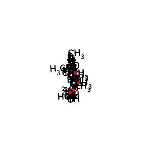 [2H]C([2H])([2H])C(CC(=O)O[C@H]1CC[C@]2(C)[C@H]3CC[C@@H]4[C@H]5[C@H](C(=C)C)CC[C@]5(C(=O)N5CCN(CC)CC5)CC[C@@]4(C)[C@]3(C)CC[C@H]2C1(C)C)(C(=O)O)C([2H])([2H])[2H]